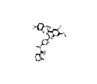 COc1cc2nc(N3CCC(N(C)C(=O)C4CCCCN4C)CC3)nc(Nc3ccc(Cl)cc3F)c2cc1F